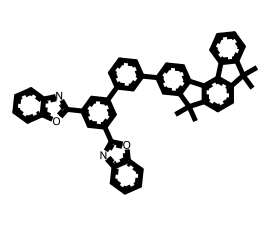 CC1(C)c2ccccc2-c2c1ccc1c2-c2ccc(-c3cccc(-c4cc(-c5nc6ccccc6o5)cc(-c5nc6ccccc6o5)c4)c3)cc2C1(C)C